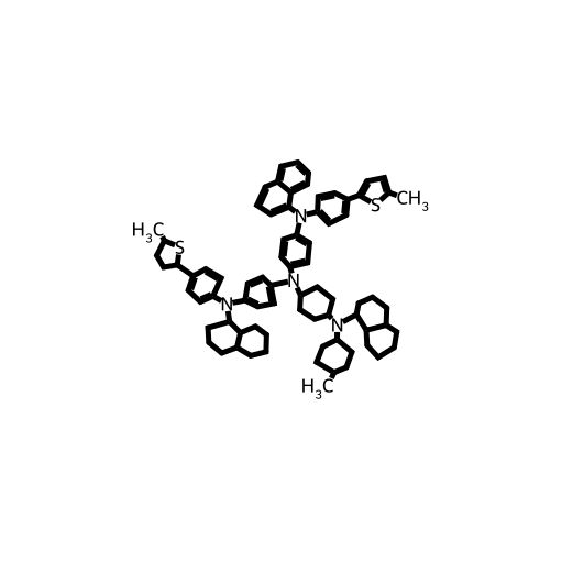 Cc1ccc(-c2ccc(N(c3ccc(N(c4ccc(N(c5ccc(C6CCC(C)S6)cc5)C5CCCC6CCCCC65)cc4)C4CCC(N(C5CCC(C)CC5)C5CCCC6CCCCC65)CC4)cc3)c3cccc4ccccc34)cc2)s1